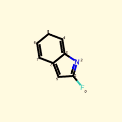 FC1=NC2=CCC=CC2=C1